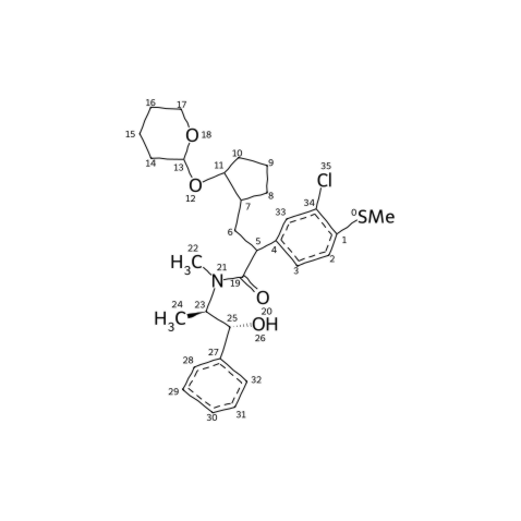 CSc1ccc(C(CC2CCCC2OC2CCCCO2)C(=O)N(C)[C@H](C)[C@H](O)c2ccccc2)cc1Cl